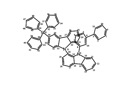 c1ccc(-c2cccc(-n3c4ccccc4c4cccc(-n5c6ccccc6c6cc([Si](c7ccccc7)(c7ccccc7)c7ccccc7)ccc65)c43)c2)cc1